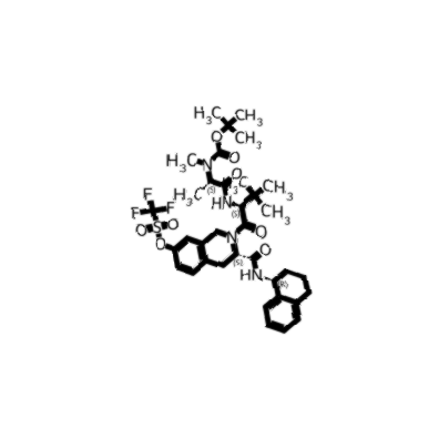 C[C@@H](C(=O)N[C@H](C(=O)N1Cc2cc(OS(=O)(=O)C(F)(F)F)ccc2C[C@H]1C(=O)N[C@@H]1CCCc2ccccc21)C(C)(C)C)N(C)C(=O)OC(C)(C)C